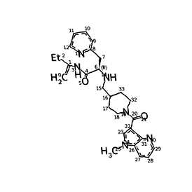 C=C(CC)NC(=O)[C@@H](Cc1ccccn1)NCC1CCN(C(=O)c2cn(C)c3cccnc23)CC1